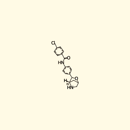 O=C(Nc1ccc(C2OC3CN[C@H]2C3)cc1)c1ccc(Cl)cc1